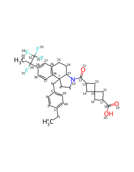 CCc1ccc(CC23CCN(C(=O)C4CC5(CC(C(=O)O)C5)C4)C2CCc2cc(C(C)(F)C(F)(F)F)ccc23)cc1